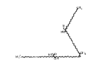 CCCCCCCCCCCCCCCCCCCCCCCC[C@@H](C(=O)O)[C@H](O)CCCCCCCCCCCCCCCC[C@H]1C[C@@H]1[C@@H](C)CCCCCCCCCCCCCCCCCC[C@@H](O)[C@H](C)CCCCCCCCCCCCCCCCCC